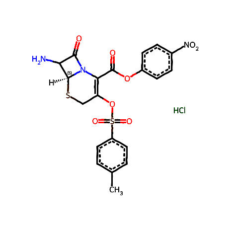 Cc1ccc(S(=O)(=O)OC2=C(C(=O)Oc3ccc([N+](=O)[O-])cc3)N3C(=O)C(N)[C@@H]3SC2)cc1.Cl